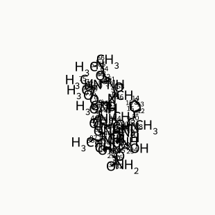 CC[C@H](C)[C@H](NC(=O)[C@@H](CCc1ccccc1)NC)C(=O)N[C@@H](CO)C(=O)N[C@H](CCC(N)=O)C(=O)N[C@@H](C(=O)N[C@H](C(=O)N[C@@H](CO)C(=O)N[C@H]1C(=O)N[C@@H](C)C(=O)NC2(CC2CCN(C)C)C(=O)N[C@@H]([C@@H](C)CC)C(=O)O[C@H]1C)[C@@H](C)CC)[C@@H](C)CC